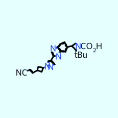 CC(C)(C)C1C(c2ccc3ncc(-c4cnn(C5CC(C=CC#N)C5)c4)nc3c2)CN1C(=O)O